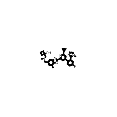 Cc1cc(CN(C)CC2(O)CCC2)cc2nc(-c3cc(-c4ccc(F)cc4-c4nncn4C)cc(C4CC4)n3)oc12